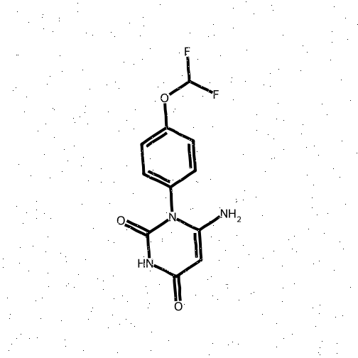 Nc1cc(=O)[nH]c(=O)n1-c1ccc(OC(F)F)cc1